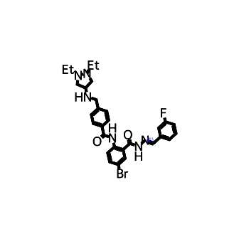 CCN1CC(NCc2ccc(C(=O)Nc3ccc(Br)cc3C(=O)N/N=C/c3cccc(F)c3)cc2)CN1CC